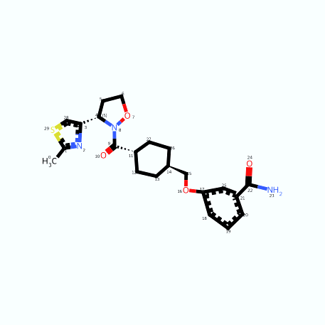 Cc1nc([C@@H]2CCON2C(=O)[C@H]2CC[C@H](COc3cccc(C(N)=O)c3)CC2)cs1